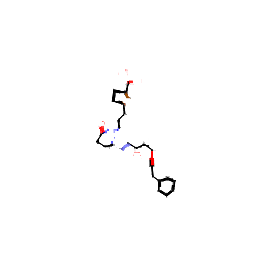 C[C@@H](CC#CCc1ccccc1)[C@H](O)/C=C/[C@H]1CCC(=O)N1CCCc1ccc(C(=O)O)s1